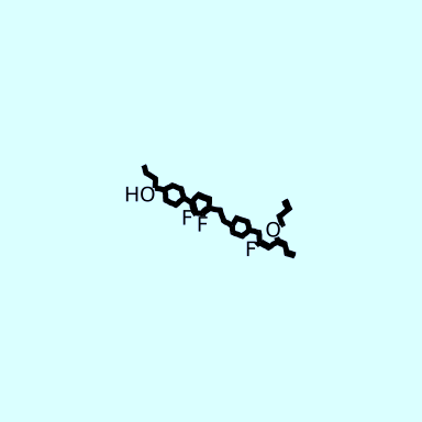 C=C/C=C(\C=C(\F)CC1CCC(CCc2ccc(C3CCC(C(O)CCC)CC3)c(F)c2F)CC1)OCCC=C